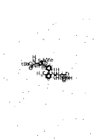 CCC(CCNC(=O)Nc1cccc(C)c1-c1cccc(S(=O)(=O)c2cc(C(=N)NC(=O)OC(C)(C)C)sc2SC)c1)P(=O)(O)O